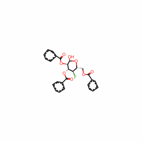 O=C(OC[C@H]1O[C@H](O)[C@H](OC(=O)c2ccccc2)[C@@H](OC(=O)c2ccccc2)[C@@H]1F)c1ccccc1